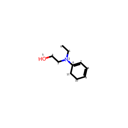 CCN(CCO)C1=CC=CCC1